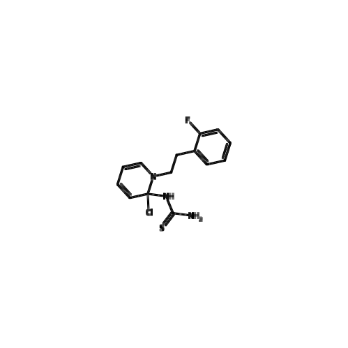 NC(=S)NC1(Cl)C=CC=CN1CCc1ccccc1F